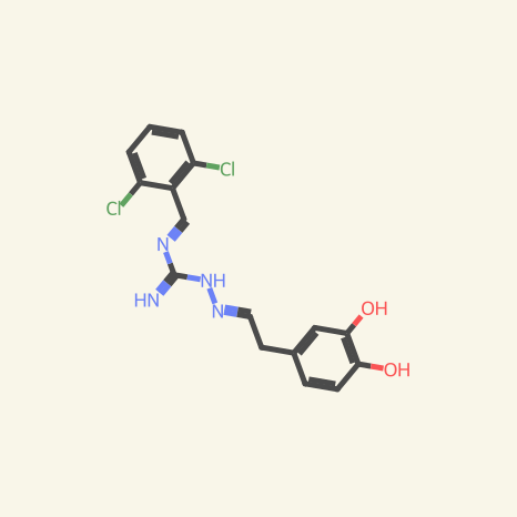 N=C(N=Cc1c(Cl)cccc1Cl)NN=CCc1ccc(O)c(O)c1